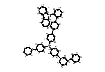 c1ccc(-c2ccc(N(c3ccc(-c4ccc(-c5ccccc5-n5c6ccccc6c6ccccc65)cc4)cc3)c3ccc(-c4cccc(-c5ccccc5)c4)cc3)cc2)cc1